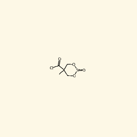 CC1(C(=O)Cl)COS(=O)OC1